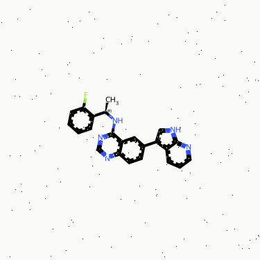 C[C@@H](Nc1ncnc2ccc(-c3c[nH]c4ncccc34)cc12)c1ccccc1F